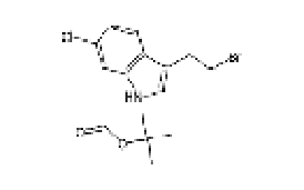 CC(C)(C)OC=O.Clc1ccc2c(CCBr)c[nH]c2c1